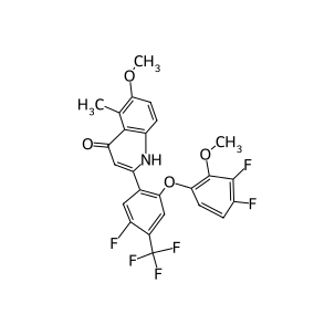 COc1ccc2[nH]c(-c3cc(F)c(C(F)(F)F)cc3Oc3ccc(F)c(F)c3OC)cc(=O)c2c1C